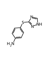 Nc1ccc(Sc2nc[nH]n2)cc1